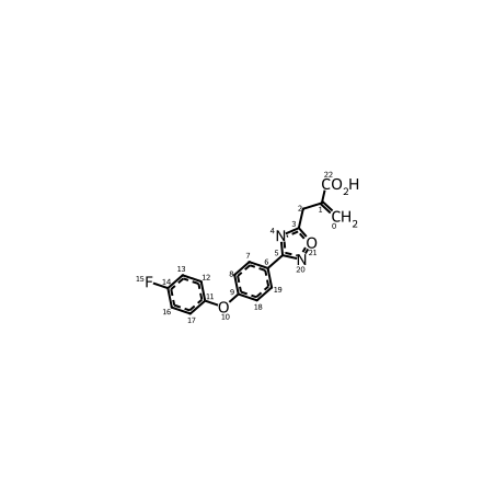 C=C(Cc1nc(-c2ccc(Oc3ccc(F)cc3)cc2)no1)C(=O)O